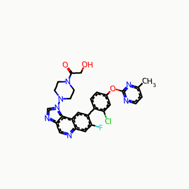 Cc1ccnc(Oc2ccc(-c3cc4c(cc3F)ncc3ncn(N5CCN(C(=O)CO)CC5)c34)c(Cl)c2)n1